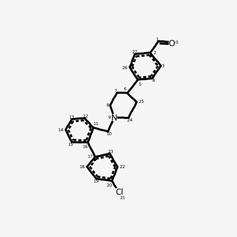 O=Cc1ccc(C2CCN(Cc3ccccc3-c3ccc(Cl)cc3)CC2)cc1